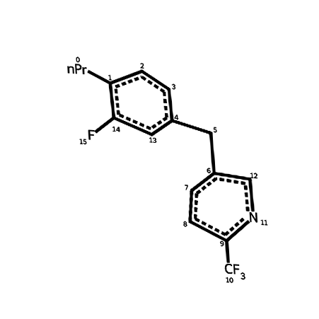 CCCc1ccc(Cc2ccc(C(F)(F)F)nc2)cc1F